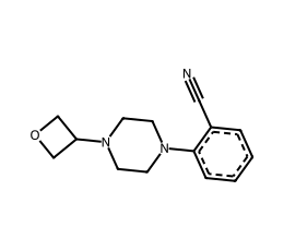 N#Cc1ccccc1N1CCN(C2COC2)CC1